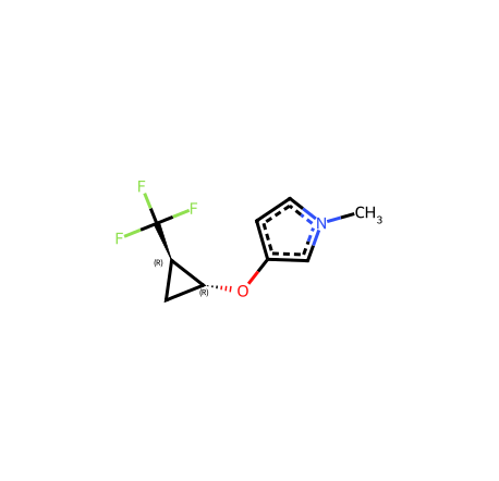 Cn1ccc(O[C@@H]2C[C@H]2C(F)(F)F)c1